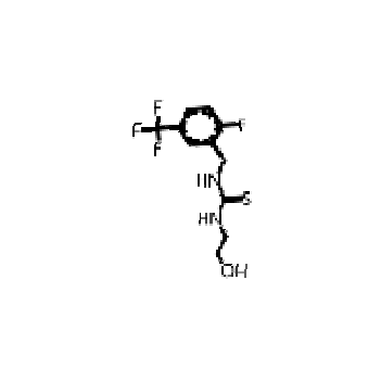 OCCNC(=S)NCc1cc(C(F)(F)F)ccc1F